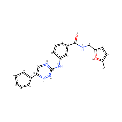 Cc1ccc(CNC(=O)c2cccc(Nc3ncc(-c4ccccc4)nn3)c2)o1